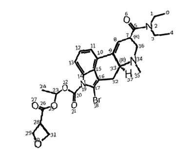 CCN(CC)C(=O)[C@@H]1C=C2c3cccc4c3c(c(Br)n4C(=O)OC(C)OC(=O)C3COC3)C[C@H]2N(C)C1